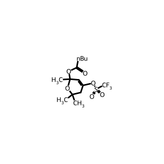 CCCCC(=O)OC1(C)C=C(OS(=O)(=O)C(F)(F)F)CC(C)(C)O1